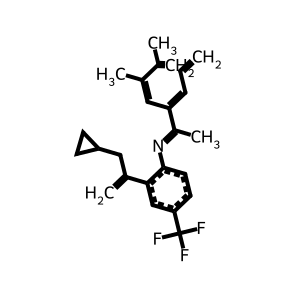 C=C/C=C(\C=C(\C)C(=C)C)C(/C)=N/c1ccc(C(F)(F)F)cc1C(=C)CC1CC1